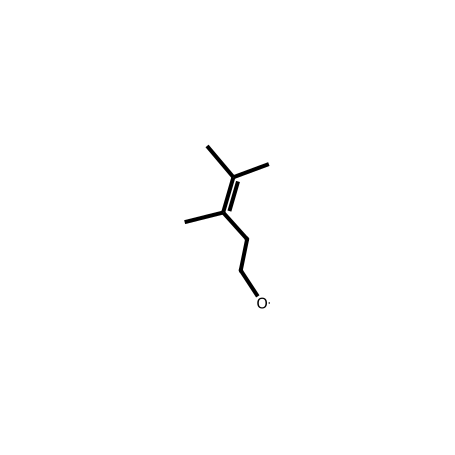 CC(C)=C(C)CC[O]